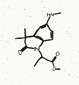 CNc1ccc2c(c1)C(C)(C)C(=O)N2C(C)C(=O)OC